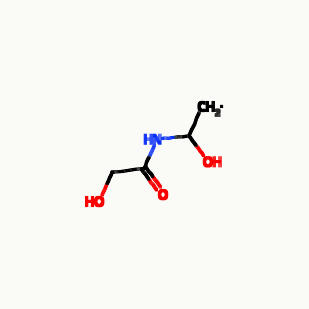 [CH2]C(O)NC(=O)CO